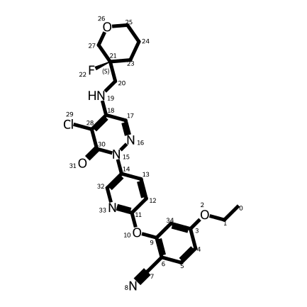 CCOc1ccc(C#N)c(Oc2ccc(-n3ncc(NC[C@@]4(F)CCCOC4)c(Cl)c3=O)cn2)c1